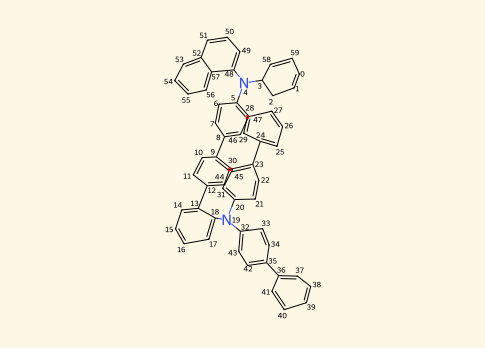 C1=CCC(N(c2ccc(-c3ccc(-c4ccccc4N(c4ccc(-c5ccccc5)cc4)c4ccc(-c5ccccc5)cc4)cc3)cc2)c2cccc3ccccc23)C=C1